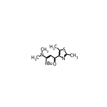 CCCC/C(=C\C(=O)c1nc(C)sc1C)N(C)C